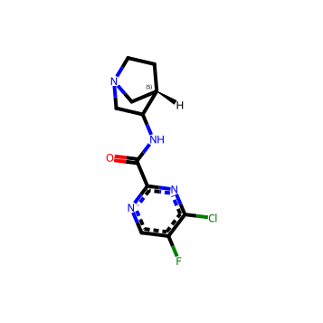 O=C(NC1CN2CC[C@H]1C2)c1ncc(F)c(Cl)n1